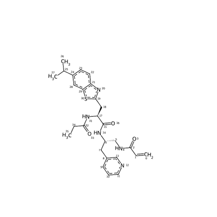 C=CC(=O)NC[C@H](Cc1cccnc1)NC(=O)[C@H](Cc1nc2ccc(C(C)C)cc2s1)NC(=O)CC